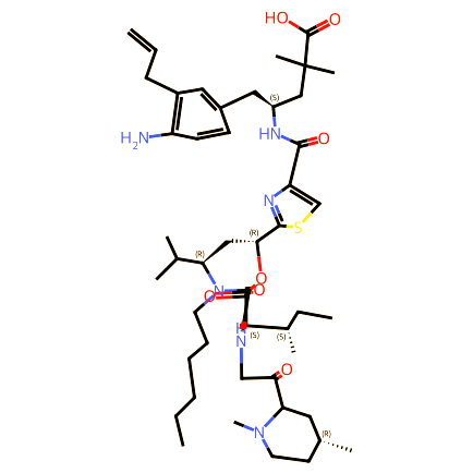 C=CCc1cc(C[C@@H](CC(C)(C)C(=O)O)NC(=O)c2csc([C@@H](C[C@H](C(C)C)N(CCCCCC)C(=O)[C@@H](NCC(=O)C3C[C@H](C)CCN3C)[C@@H](C)CC)OC(C)=O)n2)ccc1N